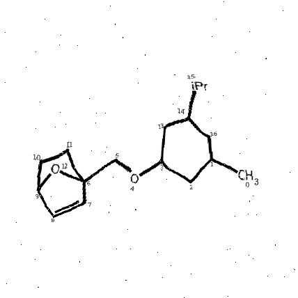 CC1CC(OCC23C=CC(CC2)O3)CC(C(C)C)C1